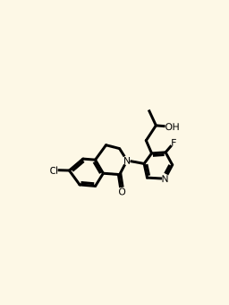 CC(O)Cc1c(F)cncc1N1CCc2cc(Cl)ccc2C1=O